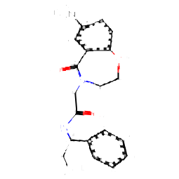 CCOC(=O)C[C@@H](NC(=O)CN1CCOc2ccc([N+](=O)[O-])cc2C1=O)c1ccccc1